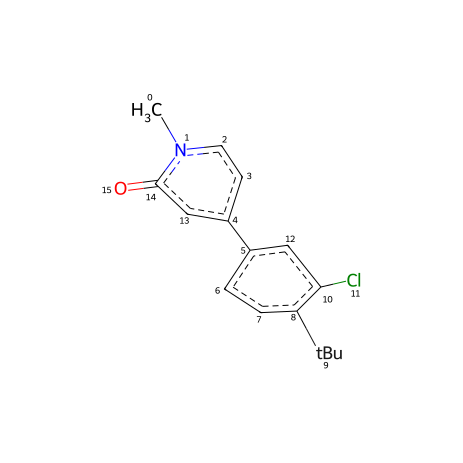 Cn1ccc(-c2ccc(C(C)(C)C)c(Cl)c2)cc1=O